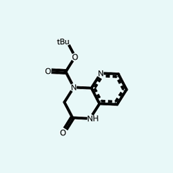 CC(C)(C)OC(=O)N1CC(=O)Nc2cccnc21